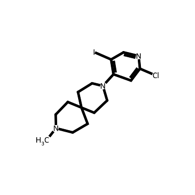 CN1CCC2(CC1)CCN(c1cc(Cl)ncc1I)CC2